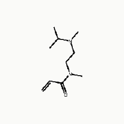 C=CC(=O)N(C)CCN(C)C(C)C